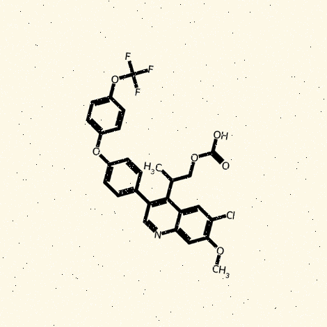 COc1cc2ncc(-c3ccc(Oc4ccc(OC(F)(F)F)cc4)cc3)c(C(C)COC(=O)O)c2cc1Cl